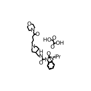 CC(C)n1c(=O)n(C(=O)NCC2CCN(CCCC(=O)N3CCOCC3)CC2)c2ccccc21.O=C(O)C(=O)O